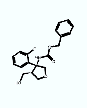 O=C(N[C@@]1(c2ccccc2F)COC[C@H]1CO)OCc1ccccc1